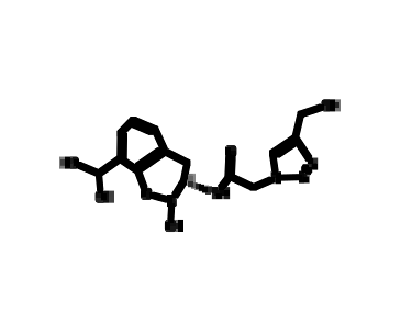 O=C(Cn1cc(CO)nn1)N[C@H]1Cc2cccc(C(O)O)c2OB1O